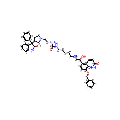 NC(=O)C(c1ccccc1)(c1ccccc1)C1CCN(CCNC(=O)NCCCCCNCC(O)c2ccc(OCc3ccccc3)c3[nH]c(=O)ccc23)C1